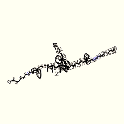 CCCCCC/C=C/COC(=O)CCCCCCCC(N)(CCCCCCCC(=O)OC/C=C/CCCCCC)OC(=O)CCCF